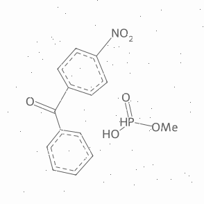 CO[PH](=O)O.O=C(c1ccccc1)c1ccc([N+](=O)[O-])cc1